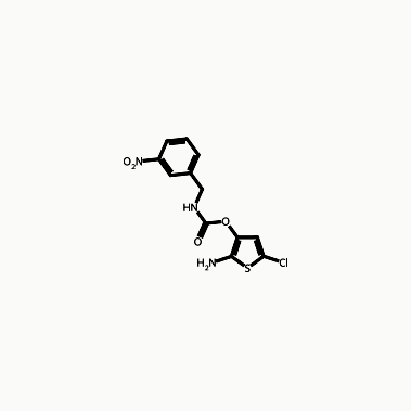 Nc1sc(Cl)cc1OC(=O)NCc1cccc([N+](=O)[O-])c1